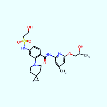 Cc1cc(NC(=O)c2ccc(NS(=O)(=O)CCO)cc2N2CCC3(CC2)CC3)nc(OCC(O)C(F)(F)F)c1